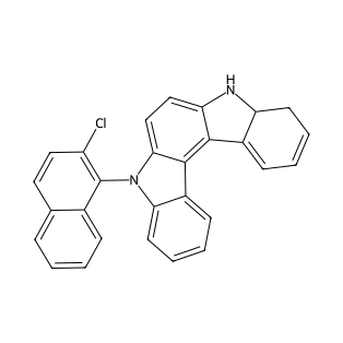 Clc1ccc2ccccc2c1-n1c2ccccc2c2c3c(ccc21)NC1CC=CC=C31